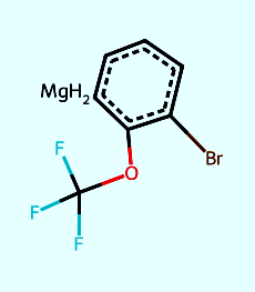 FC(F)(F)Oc1ccccc1Br.[MgH2]